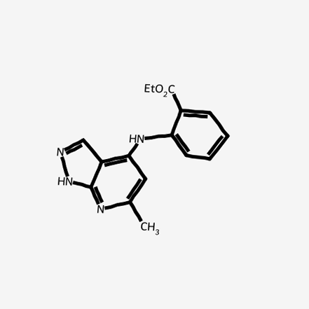 CCOC(=O)c1ccccc1Nc1cc(C)nc2[nH]ncc12